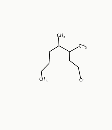 CCCCC(C)C(C)CC[O]